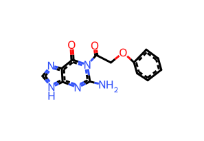 Nc1nc2[nH]cnc2c(=O)n1C(=O)COc1ccccc1